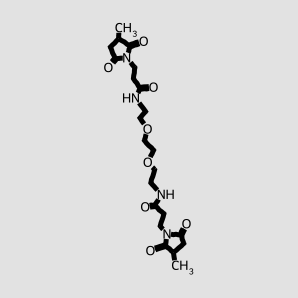 CC1CC(=O)N(CCC(=O)NCCOCCOCCNC(=O)CCN2C(=O)CC(C)C2=O)C1=O